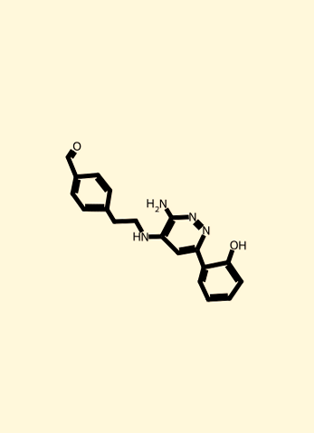 Nc1nnc(-c2ccccc2O)cc1NCCc1ccc(C=O)cc1